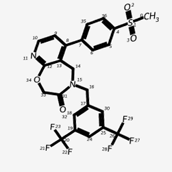 CS(=O)(=O)c1ccc(-c2ccnc3c2CN(Cc2cc(C(F)(F)F)cc(C(F)(F)F)c2)C(=O)CO3)cc1